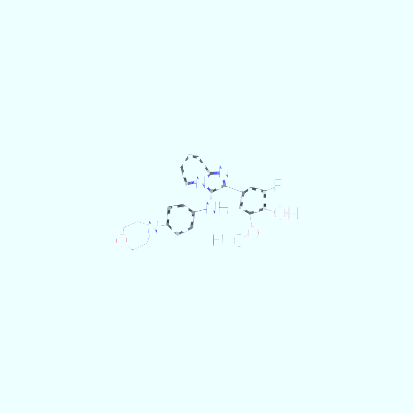 COc1cc(-c2nc3ccccn3c2Nc2ccc(N3CCOCC3)cc2)cc(F)c1O